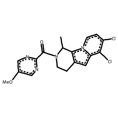 COc1cnc(C(=O)N2CCc3cc4c(Cl)c(Cl)ccn4c3C2C)nc1